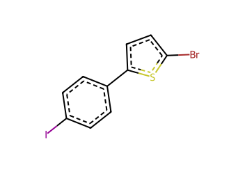 Brc1ccc(-c2ccc(I)cc2)s1